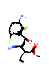 CC[C@@H](C(=N)C(=O)c1c(F)ccc(N)c1F)C(=O)OC